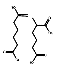 CC(CCCC(=O)O)C(=O)O.O=C(O)CCCCC(=O)O